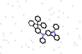 C1=CC2=C(CC1)c1ccc(N(c3ccccc3)c3ccc4c(c3)c3ccccc3n4-c3ccccc3)cc1C2(c1ccccc1)c1ccccc1